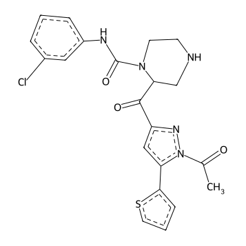 CC(=O)n1nc(C(=O)C2CNCCN2C(=O)Nc2cccc(Cl)c2)cc1-c1cccs1